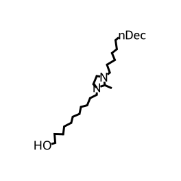 CCCCCCCCCCCCCCCCN1CCN(CCCCCCCCCCCO)C1C